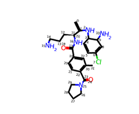 C=C(NC1C=CC(Cl)=CC1N)[C@H](CCCN)NC(=O)c1ccc(C(=O)N2CCCC2)c(C)c1